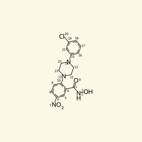 O=C(NO)c1cc([N+](=O)[O-])ccc1N1CCN(c2cccc(Cl)c2)CC1